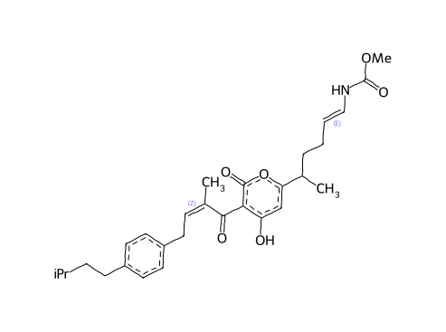 COC(=O)N/C=C/CCC(C)c1cc(O)c(C(=O)/C(C)=C\Cc2ccc(CCC(C)C)cc2)c(=O)o1